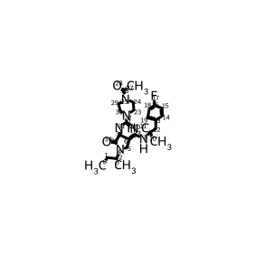 CCC(C)N1Cc2c(NC(C)(C)Cc3ccc(F)cc3)nc(N3CCN(C(C)=O)CC3)nc2C1=O